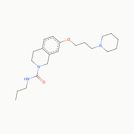 CCCNC(=O)N1CCc2ccc(OCCCN3CCCCC3)cc2C1